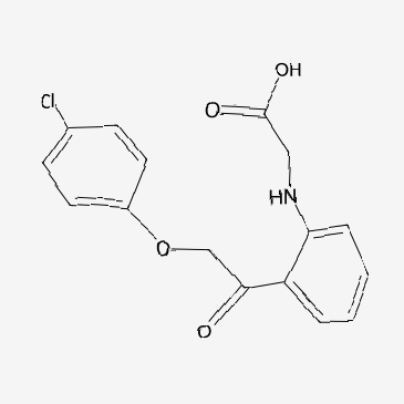 O=C(O)CNc1ccccc1C(=O)COc1ccc(Cl)cc1